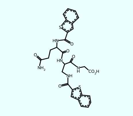 NC(=O)CCC(NC(=O)c1cc2ccccc2s1)C(=O)NC(CNC(=O)c1cc2ccccc2s1)C(=O)NCC(=O)O